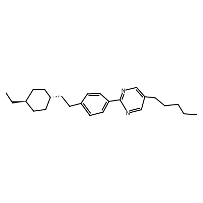 CCCCCc1cnc(-c2ccc(CC[C@H]3CC[C@H](CC)CC3)cc2)nc1